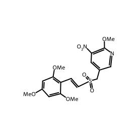 COc1cc(OC)c(C=CS(=O)(=O)Cc2cnc(OC)c([N+](=O)[O-])c2)c(OC)c1